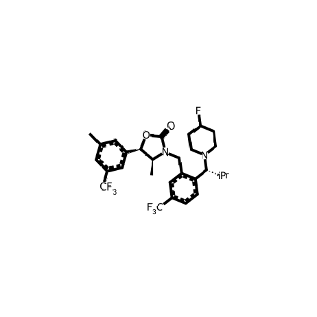 Cc1cc([C@H]2OC(=O)N(Cc3cc(C(F)(F)F)ccc3[C@@H](C(C)C)N3CCC(F)CC3)[C@H]2C)cc(C(F)(F)F)c1